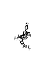 COc1ccc(CCS(=O)(=O)NC(C(C)C)P(=O)(O)CC(C(=O)O)c2cccc(CN)c2)cc1